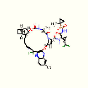 CC(C)(C)[C@@H]1NC(=O)O[C@@H]2C[C@@H]3CC[C@@H]3[C@H]2CC/C=C/C(F)(F)c2nc3ccc(C#N)cc3nc2O[C@@H]2C[C@@H](C(=O)N[C@]3(C(=O)NS(=O)(=O)C4(C)CC4)C[C@H]3C(F)F)N(C2)C1=O